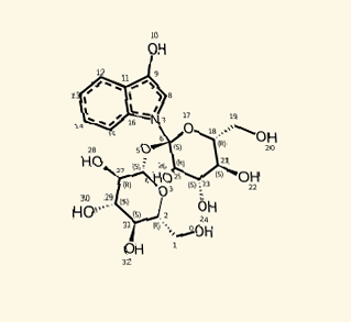 OC[C@H]1O[C@@H](O[C@@]2(n3cc(O)c4ccccc43)O[C@H](CO)[C@@H](O)[C@H](O)[C@H]2O)[C@H](O)[C@@H](O)[C@@H]1O